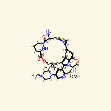 CO[C@@H](C)c1ncc(N2CCN(C)CC2)cc1-c1c2c3cc(cc4c3n1CCO4)-c1csc(n1)C[C@H](N)C(=O)N1CCC[C@H](N1)C(=O)OCC(C)(C)C2